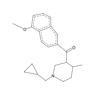 COc1cccc2cc(C(=O)C3CN(CC4CC4)CCC3C)ccc12